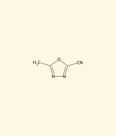 Cc1nnc(C#N)o1